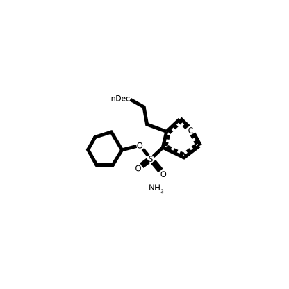 CCCCCCCCCCCCc1ccccc1S(=O)(=O)OC1CCCCC1.N